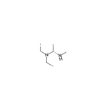 CCN(CC)C(C)NC